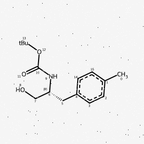 Cc1ccc(C[C@H](CO)NC(=O)OC(C)(C)C)cc1